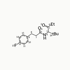 CCC(=O)C(NC(=O)CCc1ccc(F)cc1)C(C)(C)C